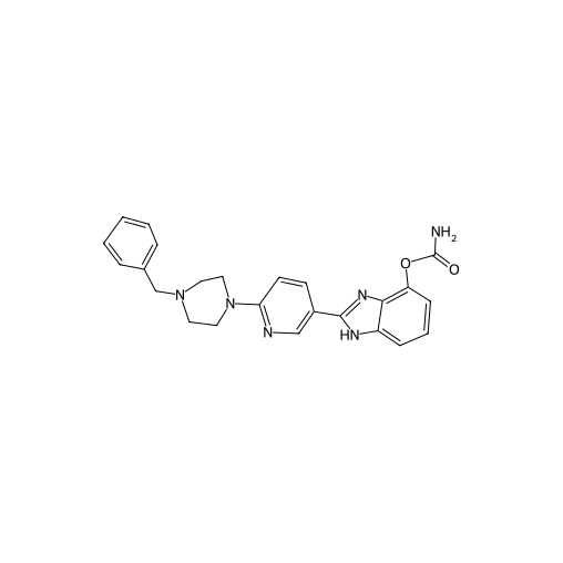 NC(=O)Oc1cccc2[nH]c(-c3ccc(N4CCN(Cc5ccccc5)CC4)nc3)nc12